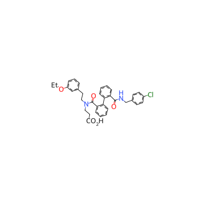 CCOc1cccc(CCN(CCC(=O)O)C(=O)c2ccccc2-c2ccccc2C(=O)NCc2ccc(Cl)cc2)c1